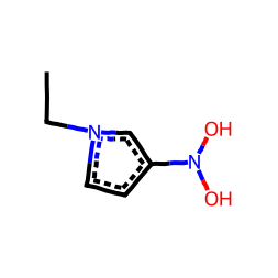 CCn1ccc(N(O)O)c1